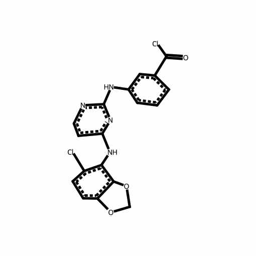 O=C(Cl)c1cccc(Nc2nccc(Nc3c(Cl)ccc4c3OCO4)n2)c1